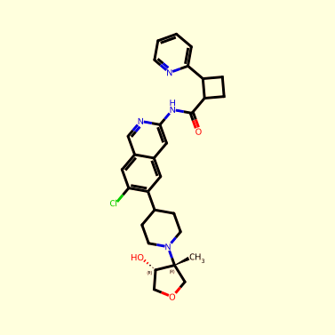 C[C@@]1(N2CCC(c3cc4cc(NC(=O)C5CCC5c5ccccn5)ncc4cc3Cl)CC2)COC[C@@H]1O